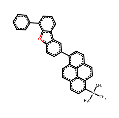 C[Si](C)(C)c1ccc2ccc3c(-c4ccc5oc6c(-c7ccccc7)cccc6c5c4)ccc4ccc1c2c43